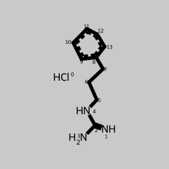 Cl.N=C(N)NCCCc1ccccc1